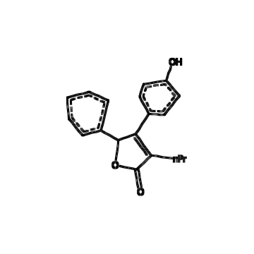 CCCC1=C(c2ccc(O)cc2)C(c2ccccc2)OC1=O